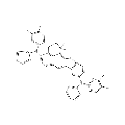 Cc1ccc(N(c2ccccc2)c2ccc3oc4c5c6c(c(N(c7ccccc7)c7ccc(C)c(C)c7)ccc6cc4c3c2)CCC5(C)C)cc1C